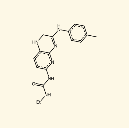 CCNC(=O)Nc1ccc2c(n1)N=C(Nc1ccc(C)cc1)CN2